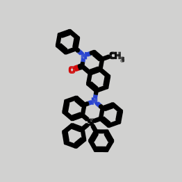 Cc1cn(-c2ccccc2)c(=O)c2cc(N3c4ccccc4[Si](c4ccccc4)(c4ccccc4)c4ccccc43)ccc12